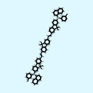 Cc1cccc(N(c2ccc3c(c2)C(C)(C)c2cc(/C=C/c4ccc5c(c4)C(C)(C)c4cc(/C=C/c6ccc7c(c6)C(C)(C)c6cc(N(c8cccc(C)c8)c8cccc9ccccc89)ccc6-7)ccc4-5)ccc2-3)c2cccc3ccccc23)c1